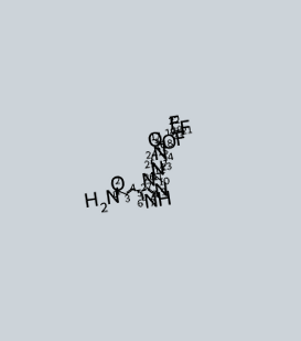 NC(=O)C=Cc1c[nH]c2ncc(N3CCN(C(=O)OCC(F)(F)F)CC3)nc12